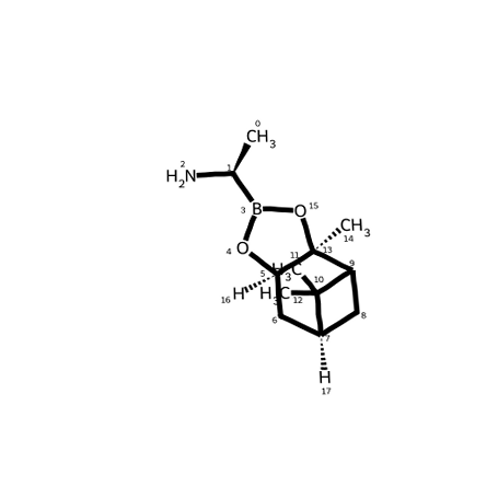 C[C@H](N)B1O[C@@H]2C[C@@H]3CC(C3(C)C)[C@]2(C)O1